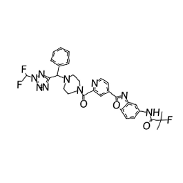 CC(C)(F)C(=O)Nc1ccc2oc(-c3ccnc(C(=O)N4CCN(C(c5ccccc5)c5nnn(C(F)F)n5)CC4)c3)nc2c1